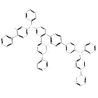 C1=CCC(c2ccc(N(c3ccccc3)c3ccc(-c4ccc(-c5ccc(N(c6ccccc6)c6ccc(-c7ccccc7)cc6)cc5C5=CC=C(c6ccccc6)CC5)cc4)cc3)cc2)C=C1